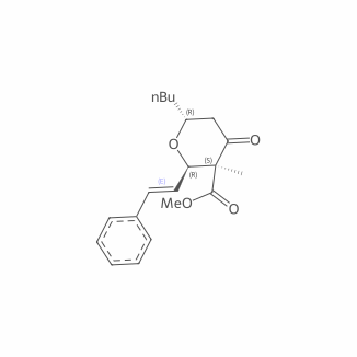 CCCC[C@@H]1CC(=O)[C@@](C)(C(=O)OC)[C@@H](/C=C/c2ccccc2)O1